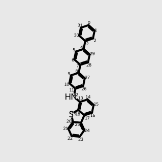 c1ccc(-c2ccc(-c3ccc(Nc4cccc5c4sc4ccccc45)cc3)cc2)cc1